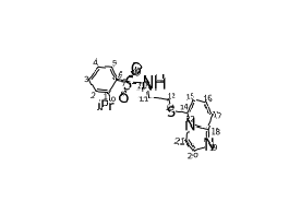 CC(C)c1ccccc1S(=O)(=O)NCCSc1cccc2nccn12